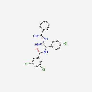 N=C(NC(=N)C(NC(=O)c1cc(Cl)cc(Cl)c1)c1ccc(Cl)cc1)c1ccccc1